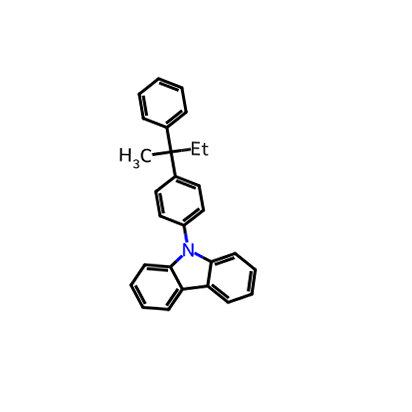 CCC(C)(c1ccccc1)c1ccc(-n2c3ccccc3c3ccccc32)cc1